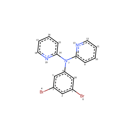 Brc1cc(Br)cc(N(c2ccccn2)c2ccccn2)c1